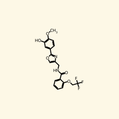 COc1ccc(-c2nc(CNC(=O)c3ccccc3OCC(F)(F)F)co2)cc1O